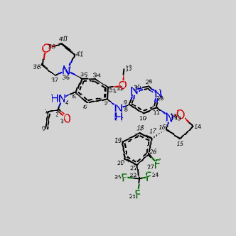 C=CC(=O)Nc1cc(Nc2cc(N3OCC[C@@H]3c3cccc(C(F)(F)F)c3F)ncn2)c(OC)cc1N1CCOCC1